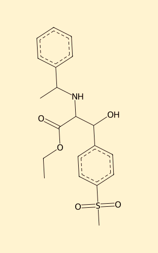 CCOC(=O)C(NC(C)c1ccccc1)C(O)c1ccc(S(C)(=O)=O)cc1